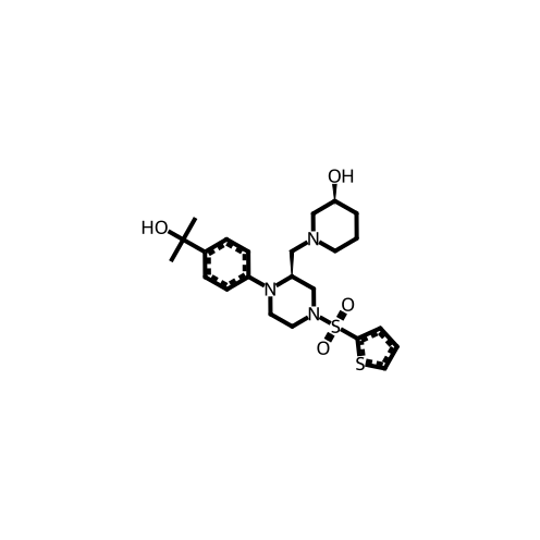 CC(C)(O)c1ccc(N2CCN(S(=O)(=O)c3cccs3)C[C@@H]2CN2CCC[C@H](O)C2)cc1